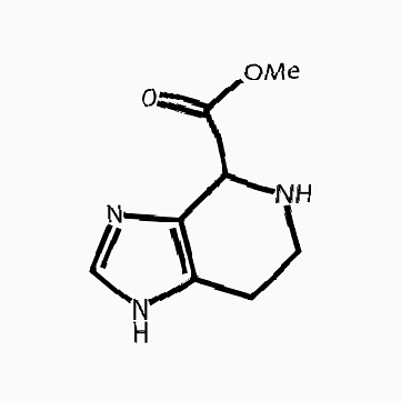 COC(=O)C1NCCc2[nH]cnc21